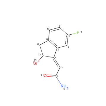 NC(=O)C=C1c2cc(F)ccc2CC1Br